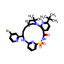 CC(C)(C)c1ccc2c(n1)N1C[C@@H](CCC(c3cc(Br)ccn3)Nc3cccc(n3)S(=O)(=O)NC2=O)CC1(C)C